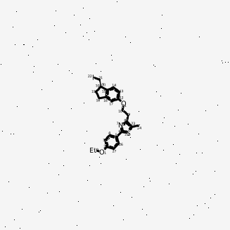 CCOc1ccc(-c2nc(CCOc3ccc4c(c3)CC[C@H]4CI)c(C)s2)cc1